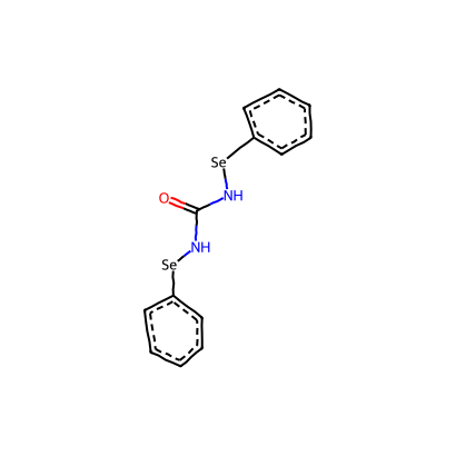 O=C(N[Se]c1ccccc1)N[Se]c1ccccc1